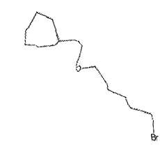 BrCCCCCOCC1CCCCC1